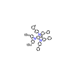 CC(C)(C)c1ccc2c(c1)c1cc(C(C)(C)C)ccc1n2-c1cc2c3c(c1)N(c1ccc(-c4ccccc4)cc1)c1ccc(-c4ccccc4)cc1B3c1cc(-c3ccccc3)ccc1N2c1ccc(C2=CC=CC3CC23)cc1